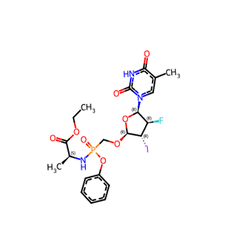 CCOC(=O)[C@H](C)NP(=O)(CO[C@H]1O[C@@H](n2cc(C)c(=O)[nH]c2=O)[C@@H](F)[C@@H]1I)Oc1ccccc1